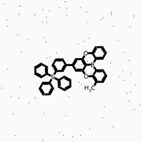 Cc1cccc2c1Oc1cc(-c3cccc([Si](c4ccccc4)(c4ccccc4)c4ccccc4)c3)cc3c1B2c1ccccc1O3